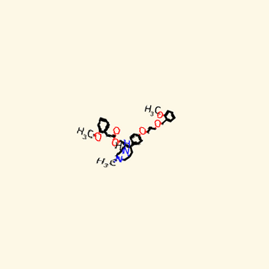 COc1ccccc1COCCCOc1ccc(C2=C(COC(=O)Cc3ccccc3OC)[C@H]3CN(C)CC(C2)N3)cc1